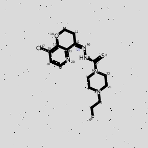 FCCN1CCN(C(=S)N/N=C2/CCOc3c(Cl)ccnc32)CC1